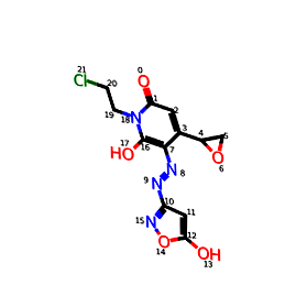 O=c1cc(C2CO2)c(N=Nc2cc(O)on2)c(O)n1CCCl